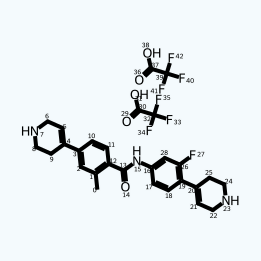 Cc1cc(C2=CCNCC2)ccc1C(=O)Nc1ccc(C2=CCNCC2)c(F)c1.O=C(O)C(F)(F)F.O=C(O)C(F)(F)F